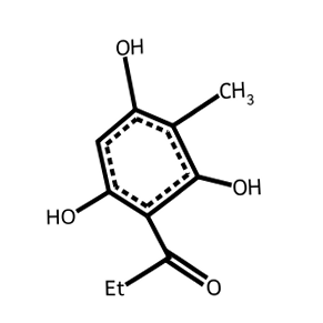 CCC(=O)c1c(O)cc(O)c(C)c1O